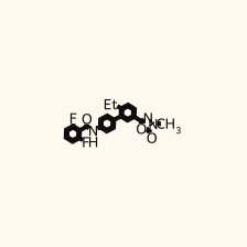 CCc1ccc(-c2nn(C)c(=O)o2)cc1-c1ccc(NC(=O)c2c(F)cccc2F)cc1